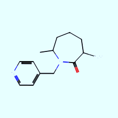 CNC1CCCC(C)N(Cc2ccncc2)C1=O